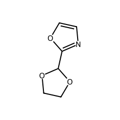 c1coc(C2OCCO2)n1